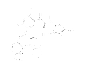 CSc1ncc2cc(-c3cc(NC(=O)Nc4cc(C(C)(C)C)nn4C)c(F)cc3C)c(=O)n(C3CCCC3)c2n1